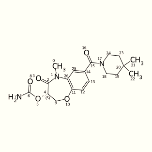 CN1C(=O)[C@@H](OC(N)=O)COc2ccc(C(=O)N3CCC(C)(C)CC3)cc21